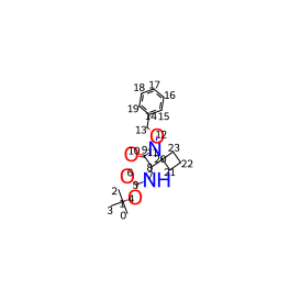 CC(C)(C)OC(=O)NC1C(=O)N(OCc2ccccc2)C12CCC2